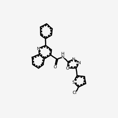 O=C(Nc1nnc(-c2ccc(Cl)s2)o1)c1cc(-c2ccccc2)nc2ccccc12